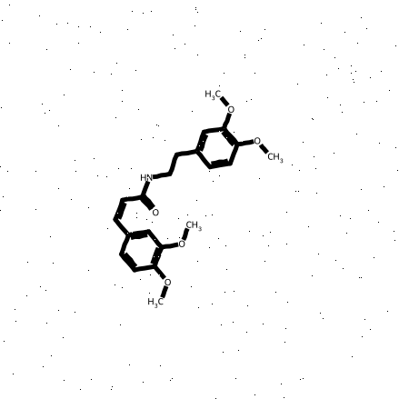 COc1ccc(/C=C\C(=O)NCCc2ccc(OC)c(OC)c2)cc1OC